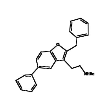 CC(=O)NCCc1c(Cc2ccccc2)oc2ccc(-c3ccccc3)cc12